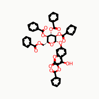 O=C(OC[C@H]1O[C@@H](Oc2ccc3c(O)c(OC(=O)c4ccccc4)c(=O)oc3c2)[C@H](OC(=O)c2ccccc2)[C@@H](OC(=O)c2ccccc2)[C@@H]1OC(=O)c1ccccc1)c1ccccc1